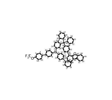 FC(F)(F)Oc1ccc(-c2ccc(N(c3ccc(-c4ccccc4)cc3)c3ccc4c(c3)C(c3ccccc3)(c3ccc(-c5cccc6c5oc5ccccc56)cc3)c3ccccc3-4)cc2)cc1